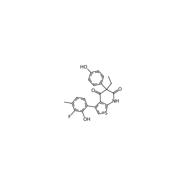 CCC1(c2ccc(O)cc2)C(=O)Nc2scc(-c3ccc(C)c(F)c3O)c2C1=O